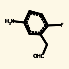 Nc1ccc(F)c(CC=O)c1